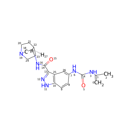 C=C(C)NC(=O)Nc1ccc2[nH]nc(C(=O)N[C@H]3CN4CCC3CC4)c2c1